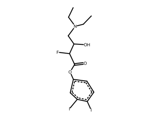 CCN(CC)CC(O)C(F)C(=O)Oc1ccc(I)c(I)c1